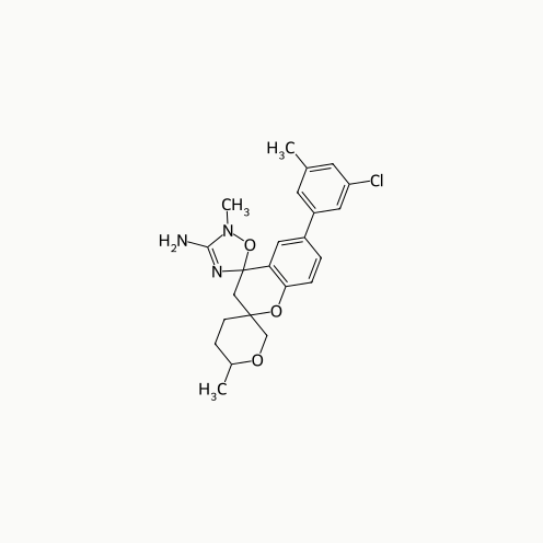 Cc1cc(Cl)cc(-c2ccc3c(c2)C2(CC4(CCC(C)OC4)O3)N=C(N)N(C)O2)c1